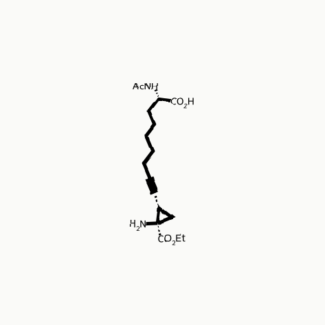 CCOC(=O)[C@@]1(N)C[C@H]1C#CCCCCC[C@H](NC(C)=O)C(=O)O